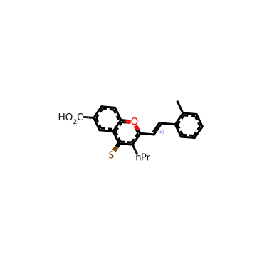 CCCc1c(/C=C/c2ccccc2C)oc2ccc(C(=O)O)cc2c1=S